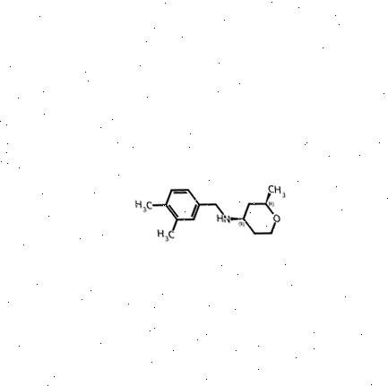 Cc1ccc(CN[C@@H]2CCO[C@H](C)C2)cc1C